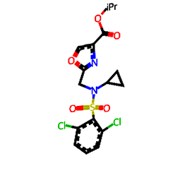 CC(C)OC(=O)c1coc(CN(C2CC2)S(=O)(=O)c2c(Cl)cccc2Cl)n1